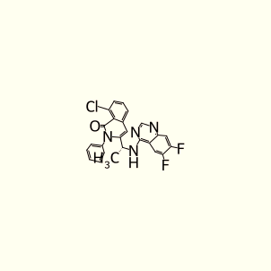 C[C@@H](Nc1ncnc2cc(F)c(F)cc12)c1cc2cccc(Cl)c2c(=O)n1-c1ccccc1